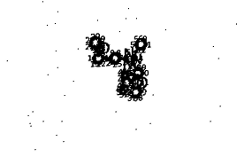 c1ccc(-c2nc(-c3ccc(-c4cccc5c4oc4ccccc45)cc3)nc(-c3ccc4c(c3)C3(c5ccccc5O4)c4ccccc4-c4ccccc43)n2)cc1